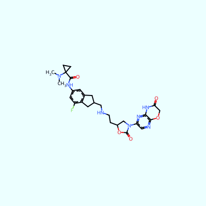 CN(C)C1(C(=O)Nc2cc(F)c3c(c2)CC(CNCCC2CN(c4cnc5c(n4)NC(=O)CO5)C(=O)O2)C3)CC1